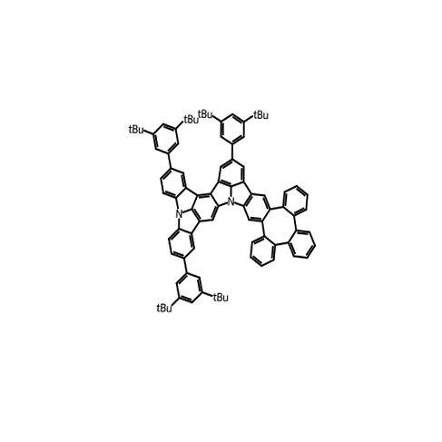 CC(C)(C)c1cc(-c2ccc3c(c2)c2cc4c(c5cc(-c6cc(C(C)(C)C)cc(C(C)(C)C)c6)cc6c7cc8c(cc7n4c65)-c4ccccc4-c4ccccc4-c4ccccc4-8)c4c5cc(-c6cc(C(C)(C)C)cc(C(C)(C)C)c6)ccc5n3c24)cc(C(C)(C)C)c1